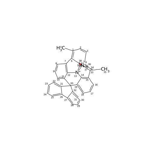 Cc1ccc[n+]2c1-c1cccc3c1[N+]21c2c(cccc2C32c3ccccc3-c3ccccc32)-c2c(C)ccc[n+]21